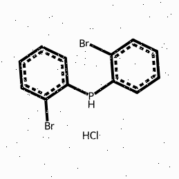 Brc1ccccc1Pc1ccccc1Br.Cl